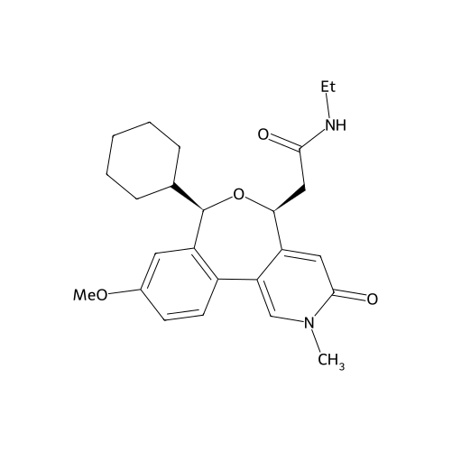 CCNC(=O)C[C@@H]1O[C@H](C2CCCCC2)c2cc(OC)ccc2-c2cn(C)c(=O)cc21